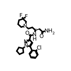 NC(=O)C[C@H](CCN1CCCC(F)(F)C1)NC(=O)c1cc(-c2ccccc2Cl)n(C2CCCC2)n1